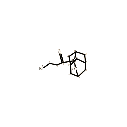 O=C(CCBr)N1CC2CC3CC(C2)CC1C3